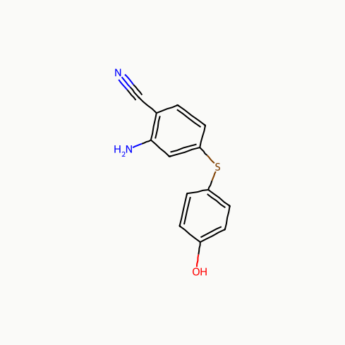 N#Cc1ccc(Sc2ccc(O)cc2)cc1N